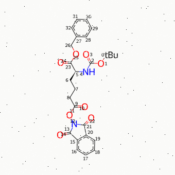 CC(C)(C)OC(=O)N[C@@H](CCCC(=O)ON1C(=O)c2ccccc2C1=O)C(=O)OCc1ccccc1